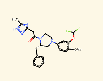 COc1ccc(N2CCN(C(=O)Cc3n[nH]c(C)n3)[C@@H](Cc3ccccc3)C2)cc1OC(F)F